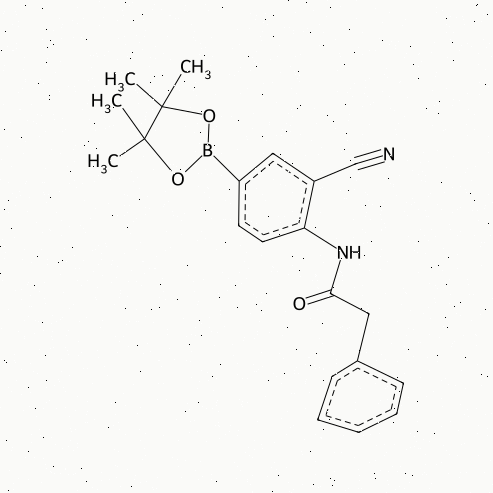 CC1(C)OB(c2ccc(NC(=O)Cc3ccccc3)c(C#N)c2)OC1(C)C